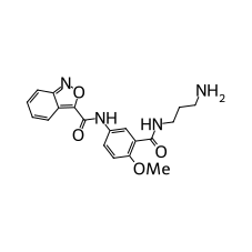 COc1ccc(NC(=O)c2onc3ccccc23)cc1C(=O)NCCCN